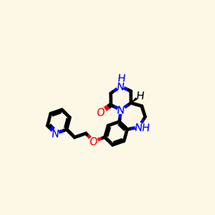 O=C1CNC[C@@H]2CCNc3ccc(OCCc4ccccn4)cc3N12